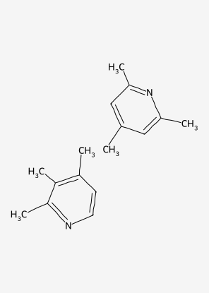 Cc1cc(C)nc(C)c1.Cc1ccnc(C)c1C